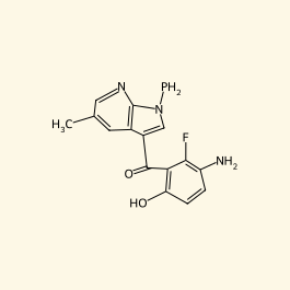 Cc1cnc2c(c1)c(C(=O)c1c(O)ccc(N)c1F)cn2P